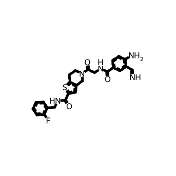 N=Cc1cc(C(=O)NCC(=O)N2CCc3sc(C(=O)NCc4ccccc4F)cc3C2)ccc1N